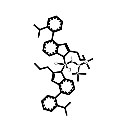 CCCC1=Cc2c(-c3ccccc3C(C)C)cccc2[CH]1[Zr]([Cl])([Cl])([BH]N([Si](C)(C)C)[Si](C)(C)C)[CH]1C(CCC)=Cc2c(-c3ccccc3C(C)C)cccc21